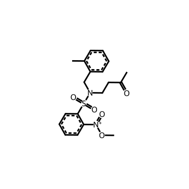 CO[N+](=O)c1ccccc1S(=O)(=O)N(CCC(C)=O)Cc1ccccc1C